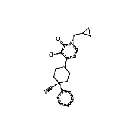 N#CC1(c2ccccc2)CCN(c2ccn(CC3CC3)c(=O)c2Cl)CC1